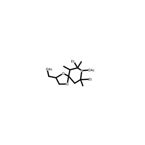 CCC1(C)CC2(OCC(COC(C)=O)O2)C(C)C(C)(CC)N1OC(C)=O